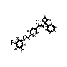 O=C(NC1(c2ccccc2)CCC1)c1ccc(COc2cc(F)cc(F)c2)nc1